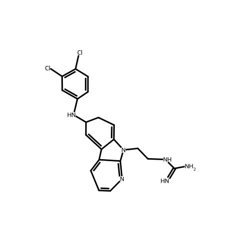 N=C(N)NCCn1c2c(c3cccnc31)=CC(Nc1ccc(Cl)c(Cl)c1)CC=2